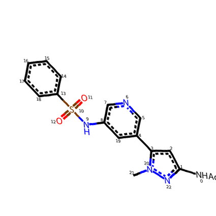 CC(=O)Nc1cc(-c2cncc(NS(=O)(=O)c3ccccc3)c2)n(C)n1